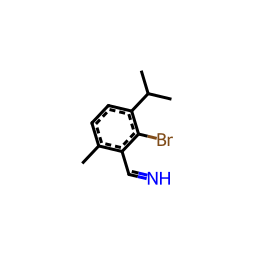 Cc1ccc(C(C)C)c(Br)c1C=N